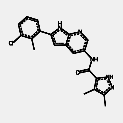 Cc1n[nH]c(C(=O)Nc2cnc3[nH]c(-c4cccc(Cl)c4C)cc3c2)c1C